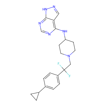 FC(F)(CN1CCC(Nc2ncnc3[nH]ncc23)CC1)c1ccc(C2CC2)cc1